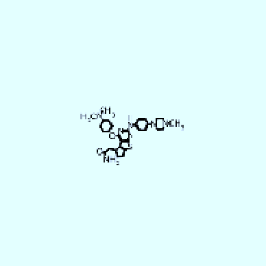 CN1CCN(c2ccc(Nc3nc(O[C@H]4CC[C@H](N(C)C)CC4)c4c5c(sc4n3)CCC5CC(N)=O)cc2)CC1